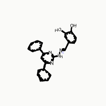 Oc1ccc(/C=N/Nc2nc(-c3ccccc3)cc(-c3ccccc3)n2)cc1O